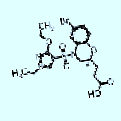 CCOc1nn(CC)cc1S(=O)(=O)N1C[C@H](CCC(=O)O)Oc2ccc(Br)cc21